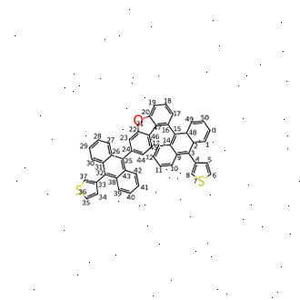 C1=CC2C(c3ccsc3)=c3ccccc3=C(c3cccc4oc5cc(-c6c7ccccc7c(-c7ccsc7)c7ccccc67)ccc5c34)C2C=C1